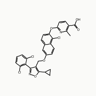 Cc1nc(Oc2ccc3cc(OCc4c(-c5c(Cl)cccc5Cl)noc4C4CC4)ccc3c2Cl)ccc1C(=O)O